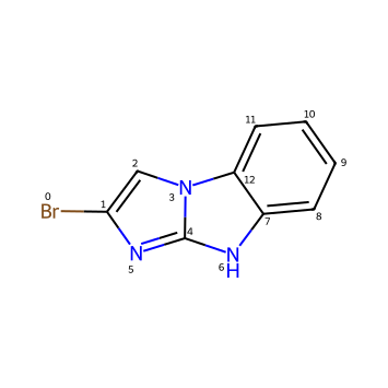 Brc1cn2c(n1)[nH]c1ccccc12